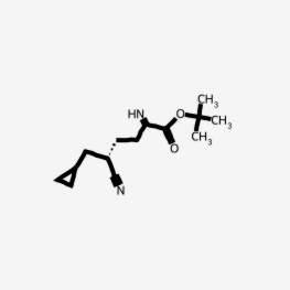 CC(C)(C)OC(=O)C(=N)CC[C@H](C#N)CC1CC1